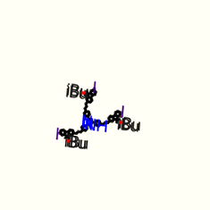 CCC(C)CC1(CC(C)CC)c2cc(I)ccc2-c2ccc(CCCc3ccc(C4=CC(c5ccc(CCCc6ccc7c(c6)C(CC(C)CC)(CC(C)CC)c6cc(I)ccc6-7)cc5)=NN(c5ccc(CCCc6ccc7c(c6)C(CC(C)CC)(CC(C)CC)c6cc(I)ccc6-7)cc5)N4)cc3)cc21